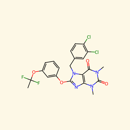 Cn1c(=O)c2c(nc(Oc3cccc(OC(C)(F)F)c3)n2Cc2ccc(Cl)c(Cl)c2)n(C)c1=O